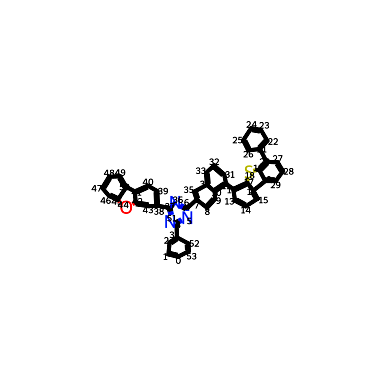 c1ccc(-c2nc(-c3ccc4c(-c5cccc6c5sc5c(-c7ccccc7)cccc56)cccc4c3)nc(-c3ccc4c(c3)oc3ccccc34)n2)cc1